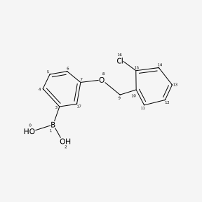 OB(O)c1cccc(OCc2ccccc2Cl)c1